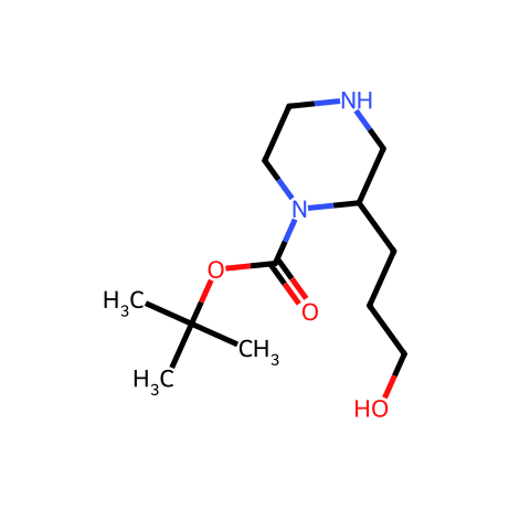 CC(C)(C)OC(=O)N1CCNCC1CCCO